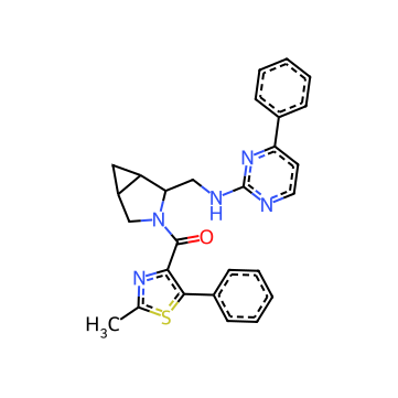 Cc1nc(C(=O)N2CC3CC3C2CNc2nccc(-c3ccccc3)n2)c(-c2ccccc2)s1